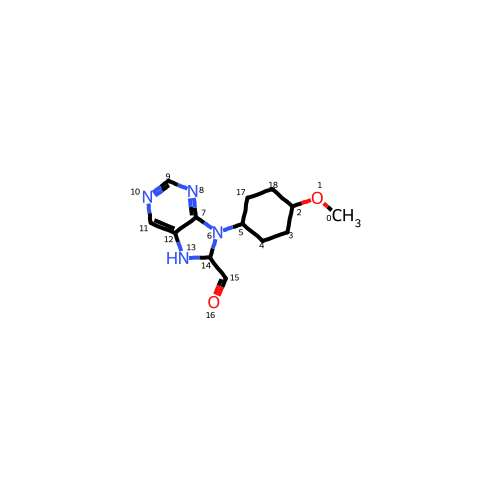 COC1CCC(N2c3ncncc3NC2C=O)CC1